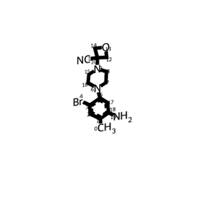 Cc1cc(Br)c(N2CCN(C3(C#N)COC3)CC2)cc1N